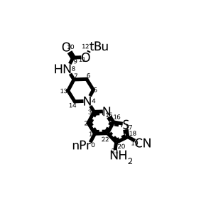 CCCc1cc(N2CCC(NC(=O)OC(C)(C)C)CC2)nc2sc(C#N)c(N)c12